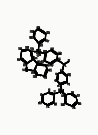 CC(c1ccc(N(c2ccccc2)c2ccccc2)cc1)c1ccc(N(c2ccccc2)c2cccc3sc4ccccc4c23)cc1